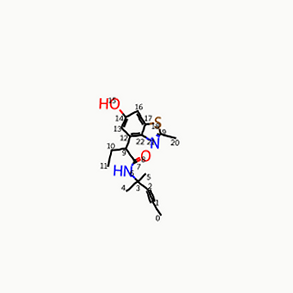 CC#CC(C)(C)NC(=O)C(CC)c1cc(O)cc2sc(C)nc12